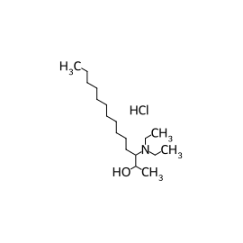 CCCCCCCCCCCC(C(C)O)N(CC)CC.Cl